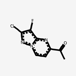 CC(=O)c1ccn2nc(Cl)c(F)c2n1